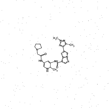 Cc1nn(C)nc1-c1cn2ncc(C(=O)NC3=CC(NC(=O)CN4CCCC4)=CNC3C)c2s1